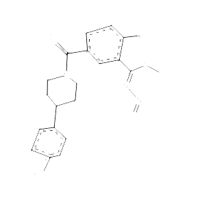 C=N/N=C(\NCCCC)c1cc(C(=C)N2CCC(c3ccc(C#N)cc3)CC2)ccc1C(C)C